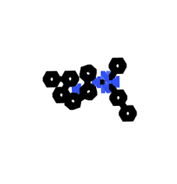 c1ccc(-c2ccc(-c3nc(-c4ccccc4)nc(-n4c5ccccc5c5c4ccc4c6ccccc6n(-c6cccc(-c7ccccc7)c6-c6ccccc6)c45)n3)cc2)cc1